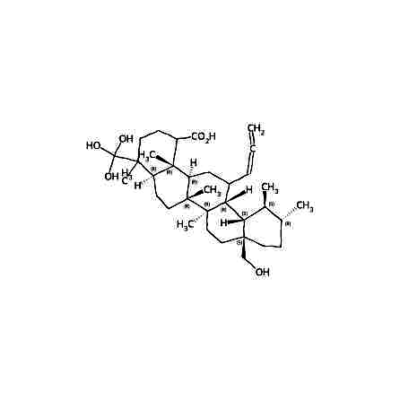 C=C=CC1C[C@@H]2[C@@]3(C)C(C(=O)O)CCC(C)(C(O)(O)O)[C@@H]3CC[C@@]2(C)[C@]2(C)CC[C@@]3(CO)CC[C@@H](C)[C@H](C)[C@H]3[C@@H]12